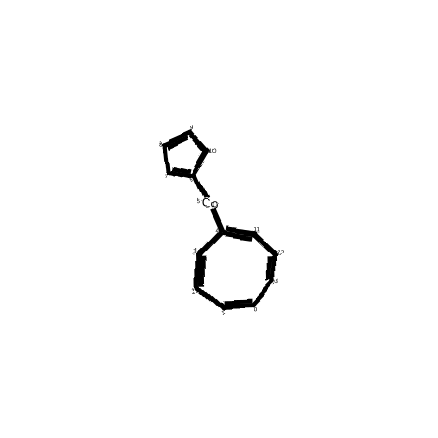 C1=CC=C[C]([Co][C]2=CC=CC2)=CC=C1